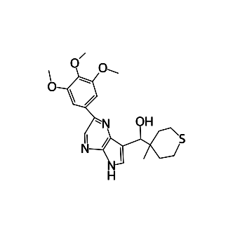 COc1cc(-c2cnc3[nH]cc(C(O)C4(C)CCSCC4)c3n2)cc(OC)c1OC